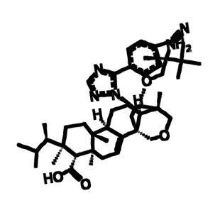 CC(C)[C@@H](C)[C@@]1(C)CC[C@]2(C)[C@H]3CC[C@@H]4[C@@]5(COC[C@@]4(C)[C@@H](OC[C@](C)(N)C(C)(C)C)[C@H](n4ncnc4-c4ccc(C#N)cc4)C5)C3=CC[C@@]2(C)[C@@H]1C(=O)O